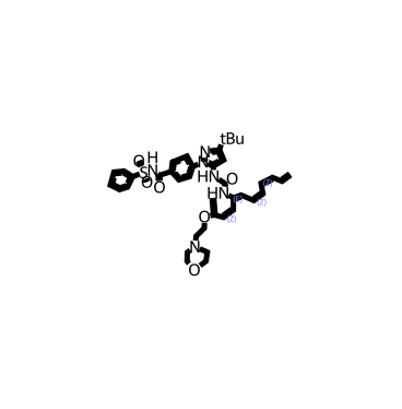 C=C\C=C/C=C\C=C(/C=C\C(=C)OCCN1CCOCC1)NC(=O)Nc1cc(C(C)(C)C)nn1-c1ccc(C(=O)NS(=O)(=O)c2ccccc2)cc1